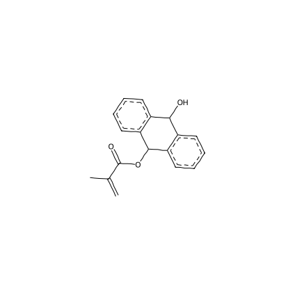 C=C(C)C(=O)OC1c2ccccc2C(O)c2ccccc21